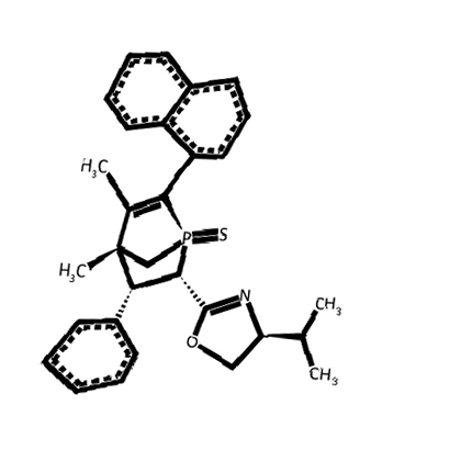 CC1=C(c2cccc3ccccc23)[P@]2(=S)C[C@]1(C)[C@@H](c1ccccc1)[C@H]2C1=N[C@@H](C(C)C)CO1